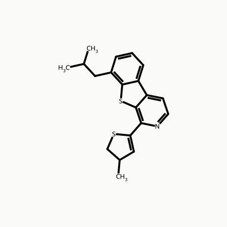 CC(C)Cc1cccc2c1sc1c(C3=CC(C)CS3)nccc12